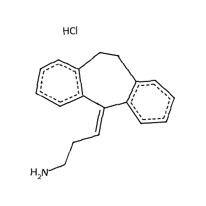 Cl.NCCC=C1c2ccccc2CCc2ccccc21